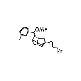 COC(=C1C2CC3CC1CC(OCCBr)(C3)C2)c1cccc(C)c1